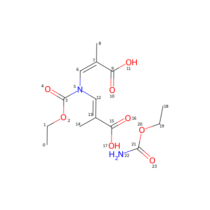 CCOC(=O)N(C=C(C)C(=O)O)C=C(C)C(=O)O.CCOC(N)=O